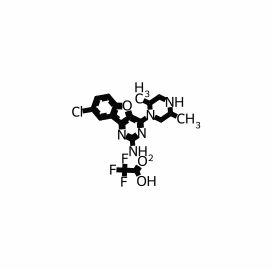 CC1CN(c2nc(N)nc3c2oc2ccc(Cl)cc23)C(C)CN1.O=C(O)C(F)(F)F